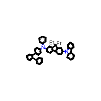 CCC1(CC)c2cc(N(c3ccccc3)c3ccc(-c4ccccc4-c4ccccc4)cc3)ccc2-c2ccc(-n3c4ccccc4c4ccccc43)cc21